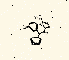 Cc1nnc2n1-c1ccc(Cl)cc1C(c1ccccc1)C2=O